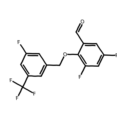 O=Cc1cc(F)cc(F)c1OCc1cc(F)cc(C(F)(F)F)c1